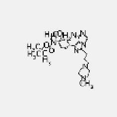 COc1cc(-c2nc(CCCN3CCN(C)CC3)n3ccnc(N)c23)ccc1NC(=O)OC(C)(C)C